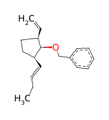 C=C[C@@H]1CC[C@H](/C=C/CC)[C@@H]1OCc1ccccc1